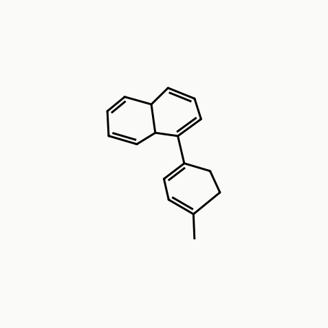 CC1=CC=C(C2=CC=CC3C=CC=CC23)CC1